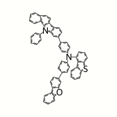 c1ccc(-n2c3cc(-c4ccc(N(c5ccc(-c6ccc7c(c6)oc6ccccc67)cc5)c5cccc6sc7ccccc7c56)cc4)ccc3c3ccc4ccccc4c32)cc1